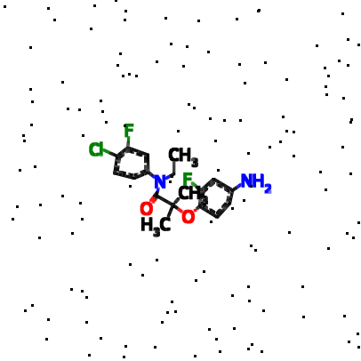 CCN(C(=O)C(C)(C)Oc1ccc(N)cc1F)c1ccc(Cl)c(F)c1